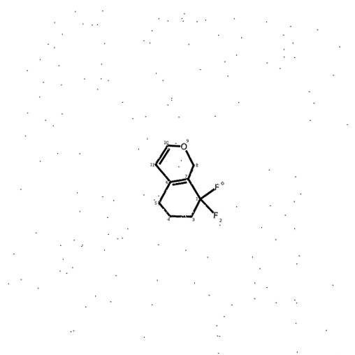 FC1(F)CC[CH]C2=C1COC=C2